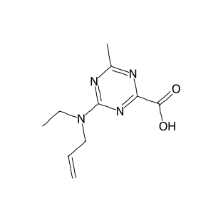 C=CCN(CC)c1nc(C)nc(C(=O)O)n1